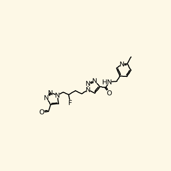 Cc1ccc(CNC(=O)c2cn(CCC(F)Cn3cc(C=O)nn3)nn2)cn1